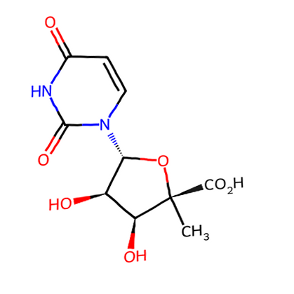 C[C@@]1(C(=O)O)O[C@@H](n2ccc(=O)[nH]c2=O)[C@H](O)[C@@H]1O